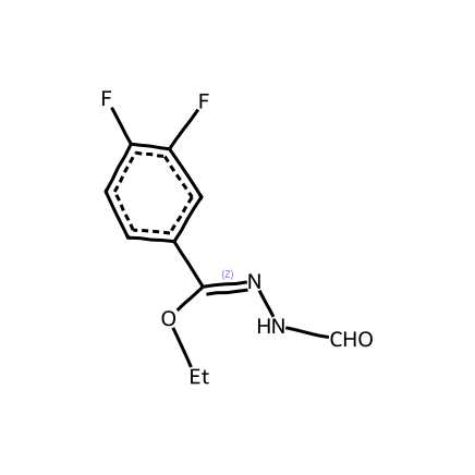 CCO/C(=N\NC=O)c1ccc(F)c(F)c1